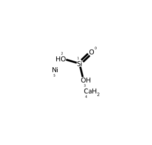 O=[Si](O)O.[CaH2].[Ni]